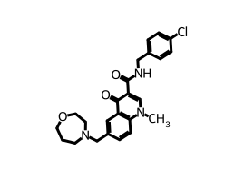 Cn1cc(C(=O)NCc2ccc(Cl)cc2)c(=O)c2cc(CN3CCCOCC3)ccc21